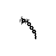 C/C=C/CCc1ccc(C2CCC(C3CCC(C(F)(F)Oc4cc(F)c(F)c(F)c4)CC3)CC2)cc1